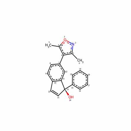 Cc1noc(C)c1-c1ccc2c(c1)[C@](O)(c1ccccc1)C=C2